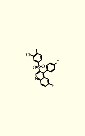 Cc1ccc(S(=O)(=O)c2cnc3ccc(F)cc3c2-c2ccc(F)cc2)cc1Cl